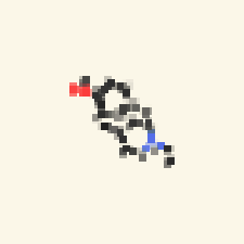 CCN1CC[C@@]2(C)CC1Cc1ccc(O)cc12